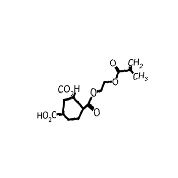 C=C(C)C(=O)OCCOC(=O)C1CCC(C(=O)O)CC1C(=O)O